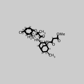 COC(=O)CC(=O)N[C@]12CC(C[C@H](C)C1)C[C@@H](NC(=O)C(C)(C)Oc1ccc(Cl)cc1C)C2